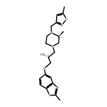 Cc1cc(CN2CCN(C[C@@H](O)COc3ccc4sc(C)nc4c3)C[C@@H]2C)no1